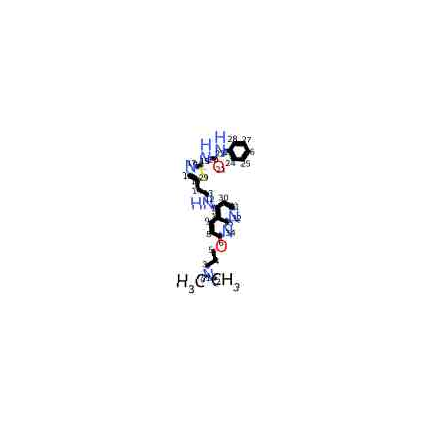 CN(C)CCCOc1ccc2c(NCCc3cnc(NC(=O)Nc4ccccc4)s3)ccnc2n1